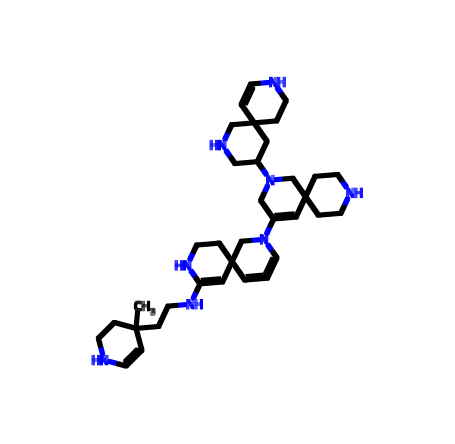 CC1(CCNC2=CC3(C=C=CN(C4=CC5(CCNCC5)CN(C5CNCC6(C=CNCC6)C5)C4)C3)CCN2)C=CNCC1